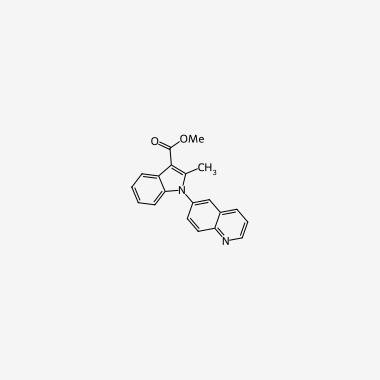 COC(=O)c1c(C)n(-c2ccc3ncccc3c2)c2ccccc12